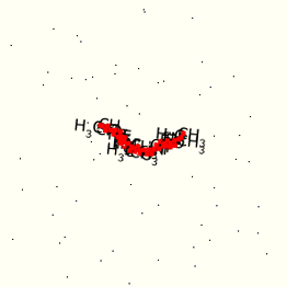 CCC(C)(C)c1nc2cc(C(c3ccc4oc(-c5ccc(Oc6ccc(C(C)(CC)C(C)(CC)c7nc8cc(C(c9ccc%10oc(C%11CCC(C(C)(C)CC)CC%11)nc%10c9)(C(F)(F)F)C(F)(F)F)ccc8o7)cc6)cc5)nc4c3)(C(F)(F)F)C(F)(F)F)ccc2o1